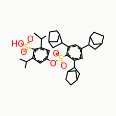 CC(C)c1cc(OS(=O)(=O)c2c(C3CC4CCC3C4)cc(C3CC4CCC3C4)cc2C2CC3CCC2C3)cc(C(C)C)c1S(=O)(=O)O